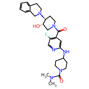 CN(C)C(=O)N1CCC(Nc2cc(C(=O)N3CC[C@H](N4CCc5ccccc5C4)[C@@H](O)C3)c(F)cn2)CC1